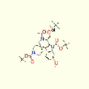 COc1ccc2c3c(n(C(=O)OC(C)(C)C)c2c1)[C@H](CO[Si](C)(C)C(C)(C)C)N(C(C)=O)CC31CCN(C(=O)OC(C)(C)C)CC1